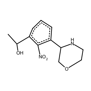 CC(O)c1cccc(C2COCCN2)c1[N+](=O)[O-]